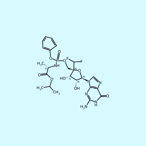 CC(C)OC(=O)[C@H](C)NP(=O)(OC[C@@]1(C(F)F)O[C@@H](n2cnc3c(=O)[nH]c(N)nc32)[C@H](O)[C@@H]1O)Oc1ccccc1